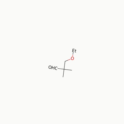 [CH2]COCC(C)(C)C=O